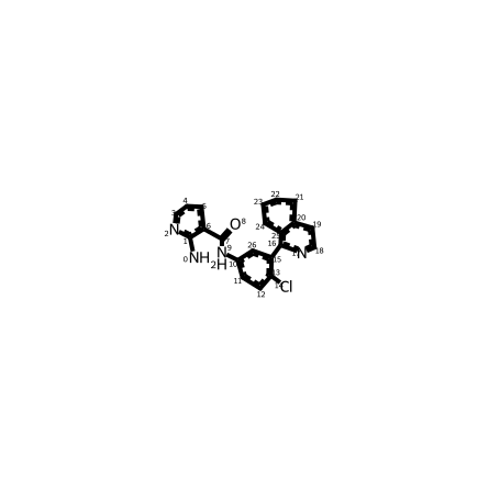 Nc1ncccc1C(=O)Nc1ccc(Cl)c(-c2nccc3ccccc23)c1